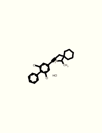 CC(N)C1(CC#Cc2cc(Cl)c(-c3ccccc3)c(Cl)c2)CCCCC1.Cl